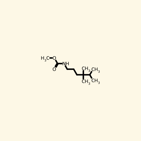 COC(=O)NCCCC(C)(C)C(C)C